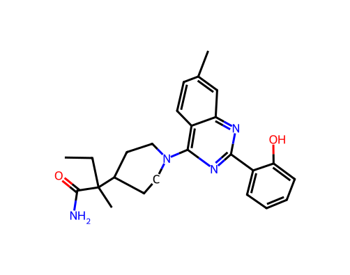 CCC(C)(C(N)=O)C1CCN(c2nc(-c3ccccc3O)nc3cc(C)ccc23)CC1